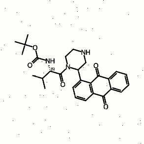 CC(C)[C@H](NC(=O)OC(C)(C)C)C(=O)N1CCNCC1c1cccc2c1C(=O)c1ccccc1C2=O